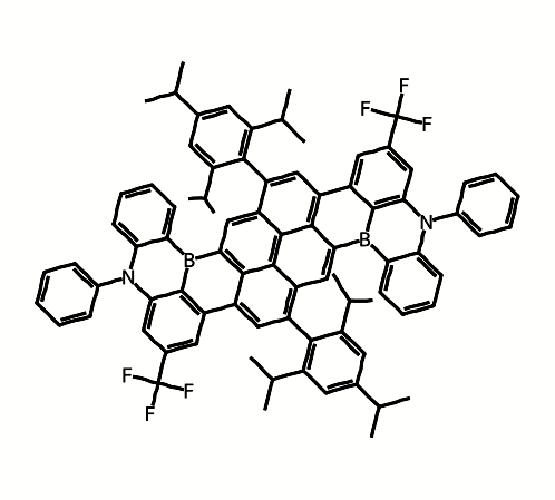 CC(C)c1cc(C(C)C)c(-c2cc3c4c(cc5c(-c6c(C(C)C)cc(C(C)C)cc6C(C)C)cc6c7c(cc2c4c57)B2c4ccccc4N(c4ccccc4)c4cc(C(F)(F)F)cc-6c42)B2c4ccccc4N(c4ccccc4)c4cc(C(F)(F)F)cc-3c42)c(C(C)C)c1